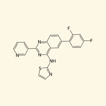 Fc1ccc(-c2ccc3nc(-c4cccnc4)nc(Nc4nccs4)c3c2)c(F)c1